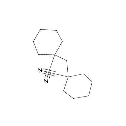 N#CC1(CC2(C#N)CCCCC2)CCCCC1